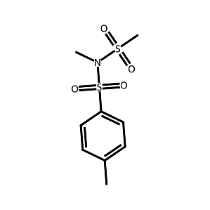 Cc1ccc(S(=O)(=O)N(C)S(C)(=O)=O)cc1